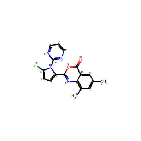 Cc1cc(C)c2nc(-c3ccc(Br)n3-c3ncccn3)oc(=O)c2c1